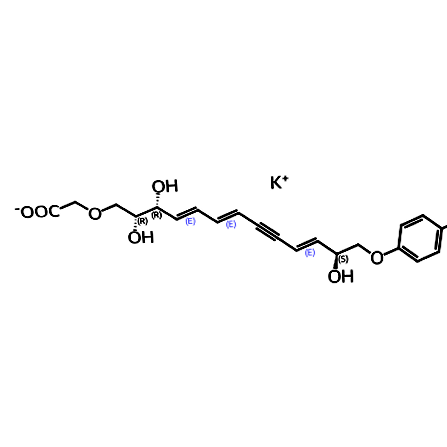 O=C([O-])COC[C@@H](O)[C@H](O)/C=C/C=C/C#C/C=C/[C@H](O)COc1ccc(F)cc1.[K+]